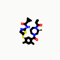 C=CC(=O)N1CCCN(C(=O)c2cc(Sc3cnc(NC(=O)C4CC4)s3)c(C)cc2C)C[C@H]1C